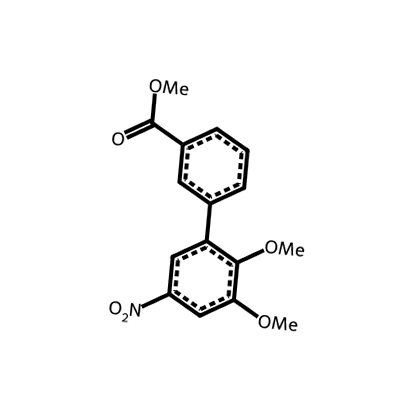 COC(=O)c1cccc(-c2cc([N+](=O)[O-])cc(OC)c2OC)c1